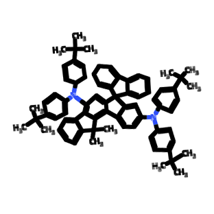 CC(C)(C)C1=CCC(N(c2ccc(C(C)(C)C)cc2)c2cc3c(c4c2-c2ccccc2C4(C)C)-c2ccc(N(c4ccc(C(C)(C)C)cc4)c4ccc(C(C)(C)C)cc4)cc2C32C3=CCCC=C3c3ccccc32)C=C1